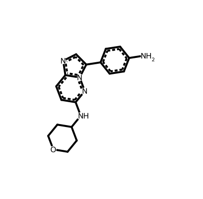 Nc1ccc(-c2cnc3ccc(NC4CCOCC4)nn23)cc1